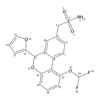 NS(=O)(=O)Cc1ccc2c(c1)C(c1ccco1)Oc1cccc(OC(F)F)c1-2